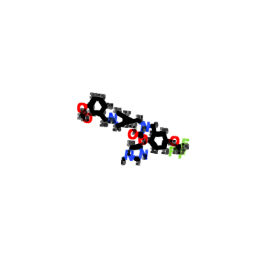 Cn1cnc(OC(=O)N(Cc2cccc(OC(F)(F)F)c2)CC2C3CN(Cc4cccc5c4OCO5)CC32)c1